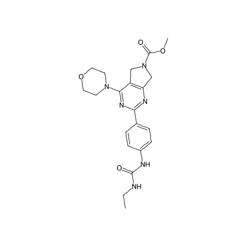 CCNC(=O)Nc1ccc(-c2nc3c(c(N4CCOCC4)n2)CN(C(=O)OC)C3)cc1